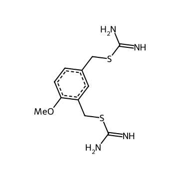 COc1ccc(CSC(=N)N)cc1CSC(=N)N